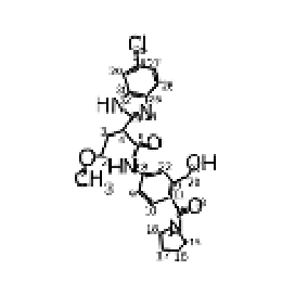 COCCC(C(=O)Nc1ccc(C(=O)N2CCCC2)c(CO)c1)c1nc2ccc(Cl)cc2[nH]1